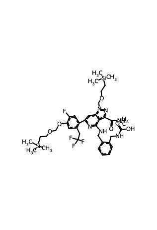 CNC(=O)c1nn(COCC[Si](C)(C)C)c2cc(-c3cc(F)c(OCOCC[Si](C)(C)C)cc3CC(F)(F)F)nc(NCc3ccccc3CNC(=O)O)c12